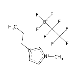 CCCn1cc[n+](C)c1.F[B-](F)(F)C(F)(F)C(F)(F)F